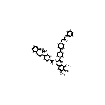 Cc1cc(C[C@@H](OC(=O)N2CCC(N3CCc4ccccc4NC3=O)CC2)C(=O)N2CCC(C3CCN(CC(=O)Oc4ccccc4)CC3)CC2)cc(C)c1O